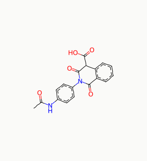 CC(=O)Nc1ccc(N2C(=O)c3ccccc3C(C(=O)O)C2=O)cc1